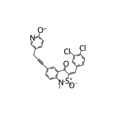 COc1ccc(CC#Cc2ccc3c(c2)C(=O)/C(=C\c2ccc(Cl)c(Cl)c2)[S+]([O-])N3C)cn1